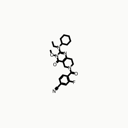 CCN(c1nc2c(c(=O)n1OC)CN(C(=O)c1ccc(C#N)cc1F)CC2)C1CCCCC1